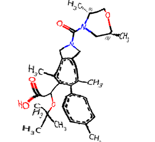 Cc1ccc(-c2c(C)c3c(c(C)c2C(OC(C)(C)C)C(=O)O)CN(C(=O)N2C[C@H](C)OC[C@H]2C)C3)cc1